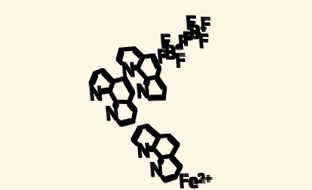 F[B-](F)(F)F.F[B-](F)(F)F.[Fe+2].c1cnc2c(c1)ccc1cccnc12.c1cnc2c(c1)ccc1cccnc12.c1cnc2c(c1)ccc1cccnc12